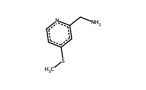 CSc1ccnc(CN)c1